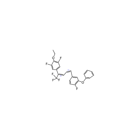 CCOc1c(F)cc(/C(=C\C=C/c2ccc(F)c(Oc3ccccc3)c2)C(F)(F)F)cc1F